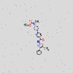 Cc1sc(NC(=O)c2ccc(N3CCC(N(C)C(=O)OC(C)(C)C)CC3)nc2)nc1-c1ccccc1